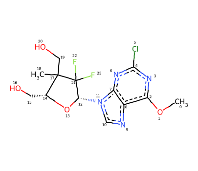 COc1nc(Cl)nc2c1ncn2[C@@H]1O[C@H](CO)C(C)(CO)C1(F)F